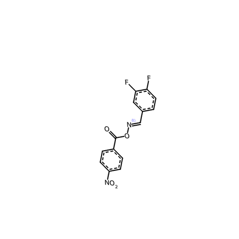 O=C(O/N=C/c1ccc(F)c(F)c1)c1ccc([N+](=O)[O-])cc1